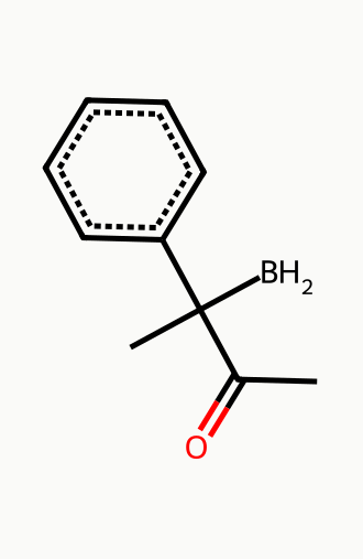 BC(C)(C(C)=O)c1ccccc1